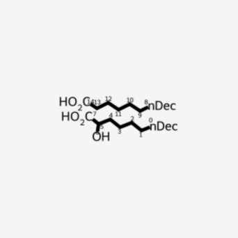 CCCCCCCCCCCCCCC(O)C(=O)O.CCCCCCCCCCCCCCCC(=O)O